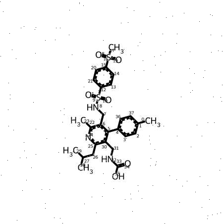 Cc1ccc(-c2c(CNS(=O)(=O)c3ccc(S(C)(=O)=O)cc3)c(C)nc(CC(C)C)c2CNC(=O)O)cc1